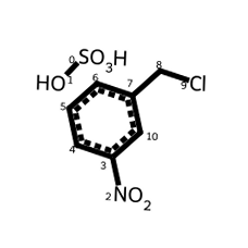 O=S(=O)(O)O.O=[N+]([O-])c1cccc(CCl)c1